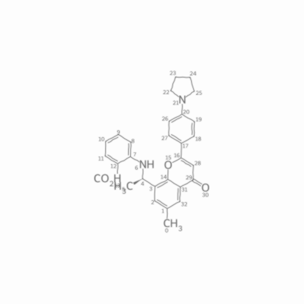 Cc1cc([C@@H](C)Nc2ccccc2C(=O)O)c2oc(-c3ccc(N4CCCC4)cc3)cc(=O)c2c1